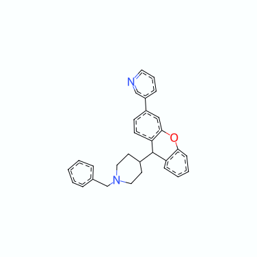 c1ccc(CN2CCC(C3c4ccccc4Oc4cc(-c5cccnc5)ccc43)CC2)cc1